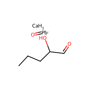 CCCC(O)C=O.[CaH2].[O]=[Pb]